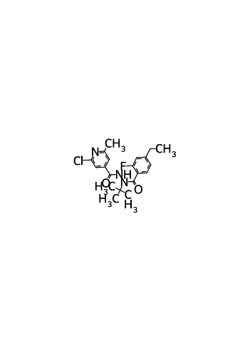 CCc1ccc(C(=O)N(NC(=O)c2cc(C)nc(Cl)c2)C(C)(C)C)c(F)c1